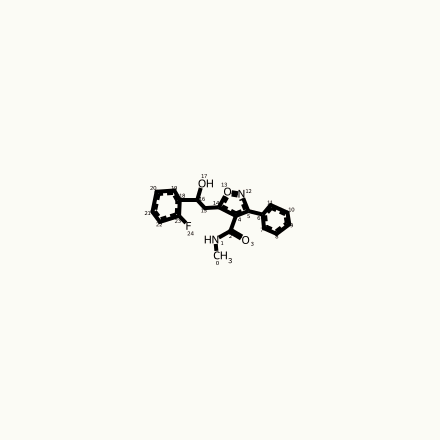 CNC(=O)c1c(-c2ccccc2)noc1CC(O)c1ccccc1F